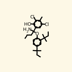 CCCC(N)(Oc1ccc(C(C)(C)CC)cc1C(C)(C)CC)c1cc(Cl)c(C)c(Cl)c1O